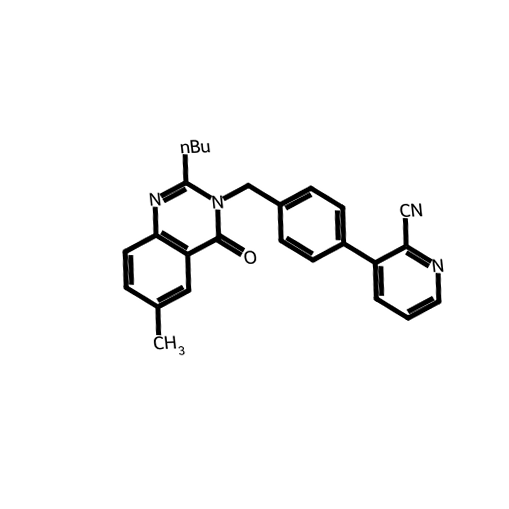 CCCCc1nc2ccc(C)cc2c(=O)n1Cc1ccc(-c2cccnc2C#N)cc1